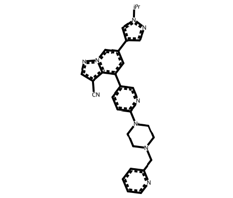 CC(C)n1cc(-c2cc(-c3ccc(N4CCN(Cc5ccccn5)CC4)nc3)c3c(C#N)cnn3c2)cn1